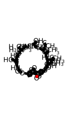 C/N=C/C1OCC2CC(C(C)(C)C)C(O)C(O)C2OC(=O)COc2ccc3c(c2)OC(=O)C2C4c5ccc(cc5OC(=O)C4C32)OCC(=O)NCCN(CCO)CCNOCN(C(C)(C)C)CONCCN(CCO)CC/N=C/C(COC(C)C)O1